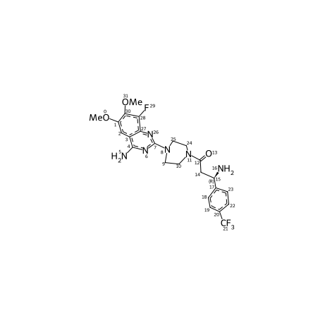 COc1cc2c(N)nc(N3CCN(C(=O)C[C@@H](N)c4ccc(C(F)(F)F)cc4)CC3)nc2c(F)c1OC